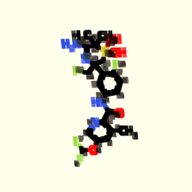 Cc1cc(OC(F)F)cnc1C(=O)Nc1ccc(F)c([C@@]2(CF)CS(O)(O)C(C)(C)C(N)=N2)c1